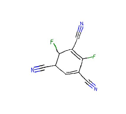 N#CC1=CC(C#N)C(F)C(C#N)=C1F